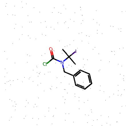 CC(C)(I)N(Cc1ccccc1)C(=O)Cl